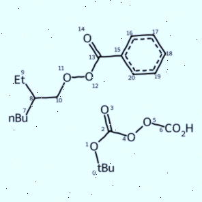 CC(C)(C)OC(=O)OOC(=O)O.CCCCC(CC)COOC(=O)c1ccccc1